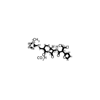 Cn1nnnc1SCC1=C(OC(=O)O)N2C(=O)C(NC(=O)C(=C(Cl)Cl)c3ccco3)[C@@H]2SC1